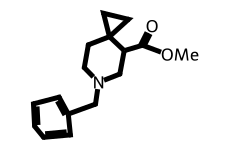 COC(=O)C1CN(Cc2ccccc2)CCC12CC2